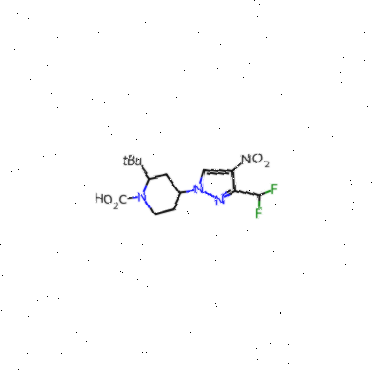 CC(C)(C)C1CC(n2cc([N+](=O)[O-])c(C(F)F)n2)CCN1C(=O)O